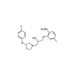 CC(=O)Nc1ccc(C)cc1OCC(O)CN1CCC(Oc2ccc(F)cc2)C1